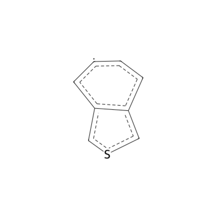 [c]1ccc2cscc2c1